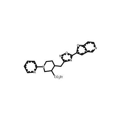 CCOC(=O)C1CN(c2ccccn2)CCC1Cc1noc(-c2cc3cnccc3o2)n1